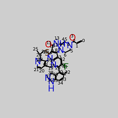 C=CC(=O)N1CCN(c2c(C(=O)NC)c(=S)n(-c3c(C)ccnc3C(C)C)c3nc(-c4c(C)ccc5[nH]ncc45)c(F)cc23)CC1